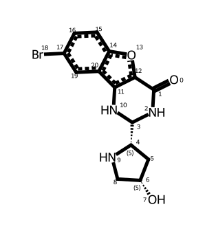 O=C1NC([C@@H]2C[C@H](O)CN2)Nc2c1oc1ccc(Br)cc21